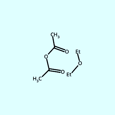 CC(=O)OC(C)=O.CCOCC